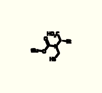 CC[C@@H](C(=O)O)N(CS)C(=O)OC(C)(C)C